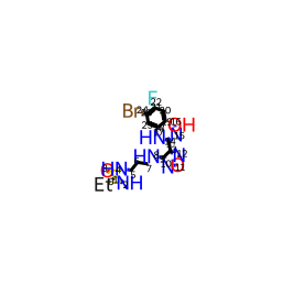 CCS(=N)(=O)NCCCNc1nonc1/C(=N/O)Nc1ccc(F)c(Br)c1